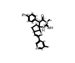 Cc1cncc(C2=CC3CCC4(NC(=N)N(C)C(=O)C4c4ccc(C(C)C)cc4)C3S2)c1